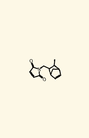 CC1C2C=CC(C2)C1CN1C(=O)C=CC1=O